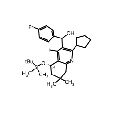 CC(C)c1ccc(C(O)c2c(C3CCCC3)nc3c(c2I)[C@@H](O[Si](C)(C)C(C)(C)C)CC(C)(C)C3)cc1